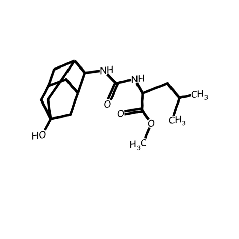 COC(=O)C(CC(C)C)NC(=O)NC1C2CC3CC1CC(O)(C3)C2